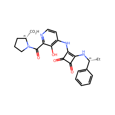 CC[C@@H](Nc1c(Nc2ccnc(C(=O)N3CCC[C@@H]3C(=O)O)c2O)c(=O)c1=O)c1ccccc1